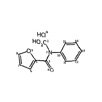 Cl.O=C(O)N(C(=O)c1ccco1)c1ccccc1